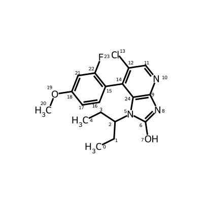 CCC(CC)n1c(O)nc2ncc(Cl)c(-c3ccc(OC)cc3F)c21